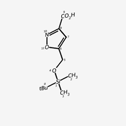 CC(C)(C)[Si](C)(C)OCc1cc(C(=O)O)no1